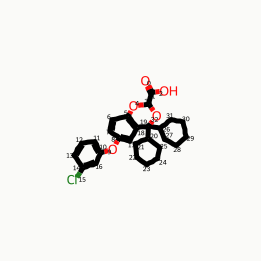 O=C(O)C1Oc2ccc(Oc3cccc(Cl)c3)cc2C(C2CCCCC2)(C2CCCCC2)O1